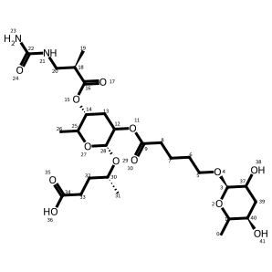 CC1O[C@@H](OCCCCC(=O)OC2C[C@@H](OC(=O)[C@H](C)CNC(N)=O)C(C)O[C@H]2O[C@H](C)CCC(=O)O)C(O)C[C@H]1O